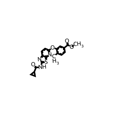 COC(=O)c1ccc(C)c(Oc2ccc3nc(NC(=O)C4CC4)sc3n2)c1